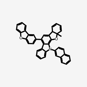 CC12C=CC=CC1c1cc(-c3ccc4oc5ccccc5c4c3)c3c4ccccc4n(-c4ccc5ccccc5c4)c3c1O2